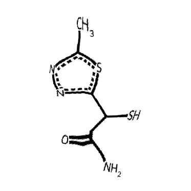 Cc1nnc(C(S)C(N)=O)s1